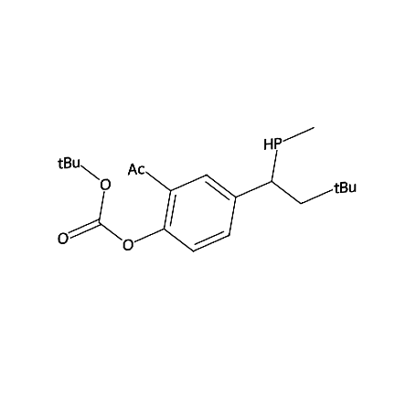 CPC(CC(C)(C)C)c1ccc(OC(=O)OC(C)(C)C)c(C(C)=O)c1